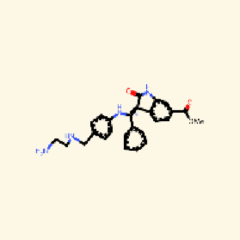 COC(=O)c1ccc2c(c1)NC(=O)/C2=C(\Nc1ccc(CNCCN)cc1)c1ccccc1